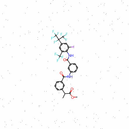 COC(=O)C(C)c1cccc(C(=O)Nc2cccc(C(=O)Nc3c(I)cc(C(F)(C(F)(F)F)C(F)(F)F)cc3C(F)(F)F)c2)c1